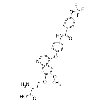 COc1cc2c(Oc3ccc(NC(=O)c4ccc(OC(F)(F)F)cc4)cc3)ccnc2cc1OCCC(N)C(=O)O